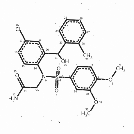 COc1ccc(S(=O)(=O)N(CC(N)=O)c2ccc(Cl)cc2C(O)c2ccccc2C)cc1OC